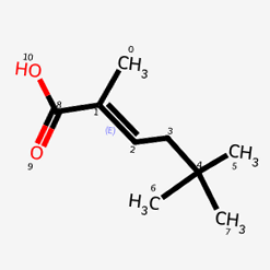 C/C(=C\CC(C)(C)C)C(=O)O